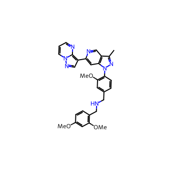 COc1ccc(CNCc2ccc(-n3nc(C)c4cnc(-c5cnn6cccnc56)cc43)c(OC)c2)c(OC)c1